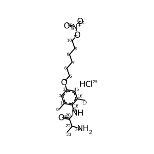 Cc1cc(OCCCCCCO[N+](=O)[O-])cc(C)c1NC(=O)C(C)N.Cl